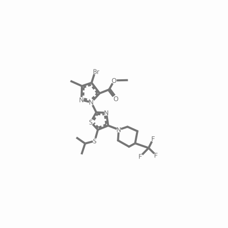 COC(=O)c1c(Br)c(C)nn1-c1nc(N2CCC(C(F)(F)F)CC2)c(SC(C)C)s1